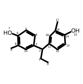 CCC(c1ccc(O)c(C)c1)c1ccc(O)c(C)c1